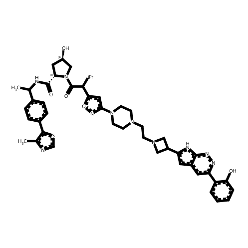 Cc1ncsc1-c1ccc(C(C)NC(=O)[C@@H]2C[C@@H](O)CN2C(=O)C(c2cc(N3CCN(CCN4CC(c5cc6cc(-c7ccccc7O)nnc6[nH]5)C4)CC3)no2)C(C)C)cc1